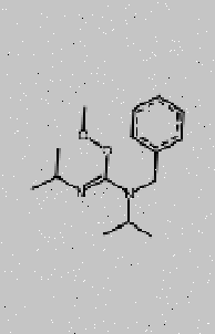 COOC(=NC(C)C)N(Cc1ccccc1)C(C)C